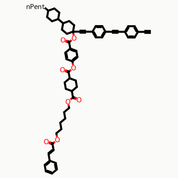 C#Cc1ccc(C#Cc2ccc(C#CC3(OC(=O)c4ccc(OC(=O)C5CCC(C(=O)OCCCCCCOC(=O)/C=C/c6ccccc6)CC5)cc4)CCC(C4CCC(CCCCC)CC4)CC3)cc2)cc1